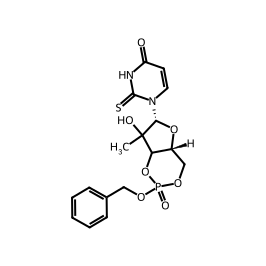 CC1(O)C2OP(=O)(OCc3ccccc3)OC[C@H]2O[C@H]1n1ccc(=O)[nH]c1=S